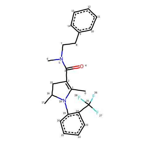 CC1=C(C(=O)N(C)CCc2ccccc2)CC(C)N1c1ccccc1C(F)(F)F